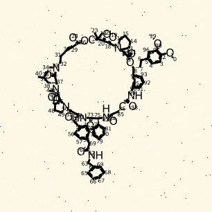 COc1ccc(CC[C@H]2OC(=O)[C@@H]3CCCCN3C(=O)C(=O)C(C)(C)COC(=O)/C=C/CCN(C)C(=O)[C@H](CC(C)C)N(C)C(=O)[C@H]3CCCN3C(=O)[C@H](Cc3ccc(CC(=O)NCc4ccccc4)cc3)NC(=O)[C@H](c3ccccc3)NC(=O)CCC(=O)Nc3cccc2c3)cc1OC